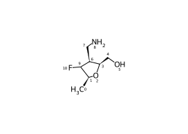 C[C@@H]1O[C@H](CO)[C@H](CN)C1F